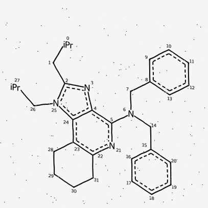 CC(C)Cc1nc2c(N(Cc3ccccc3)Cc3ccccc3)nc3c(c2n1CC(C)C)CCCC3